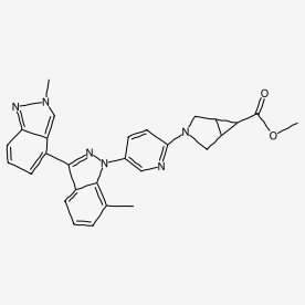 COC(=O)C1C2CN(c3ccc(-n4nc(-c5cccc6nn(C)cc56)c5cccc(C)c54)cn3)CC21